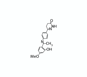 COc1ccc(C(C)=Nc2ccc(C3=NNC(=O)CC3)cc2)c(O)c1